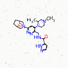 CC1CN(C)CCN1c1cc(N2CC3CCC(C2)O3)nnc1CNC(=O)c1ccn[nH]1